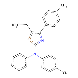 Cc1ccc(-c2nc(N(c3ccccc3)c3ccc(C#N)cc3)sc2CC(=O)O)cc1